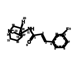 O=C(/C=C/c1cccc(F)c1)N[C@H]1CN2CCC1CC2